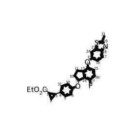 CCOC(=O)[C@H]1C[C@@H]1c1ccc(O[C@@H]2CCc3c(Oc4ccc5nc(C)sc5c4)ccc(F)c32)cc1